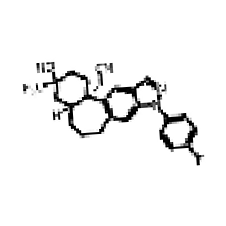 N#CC[C@@]12CC[C@](O)(C(F)(F)F)C[C@H]1CCCc1cc3c(cnn3-c3ccc(F)cc3)cc12